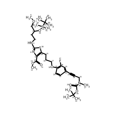 COCC(CCNc1nc(C(=O)OC)c(CCCOc2ccc(C#CCN(C)C(=O)OC(C)(C)C)cc2F)s1)O[Si](C)(C)C(C)(C)C